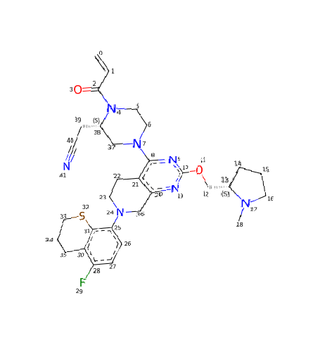 C=CC(=O)N1CCN(c2nc(OC[C@@H]3CCCN3C)nc3c2CCN(c2ccc(F)c4c2SCCC4)C3)C[C@@H]1CC#N